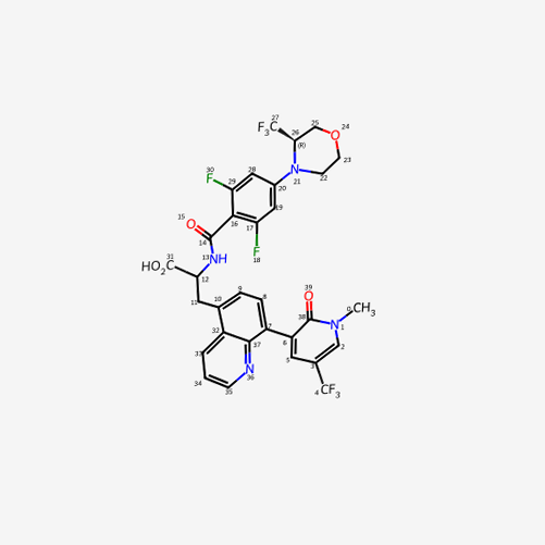 Cn1cc(C(F)(F)F)cc(-c2ccc(CC(NC(=O)c3c(F)cc(N4CCOC[C@@H]4C(F)(F)F)cc3F)C(=O)O)c3cccnc23)c1=O